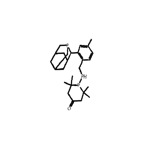 Cc1ccc(CPP2C(C)(C)CC(=O)CC2(C)C)c(C2C3CC4CC(C3)CP2C4)c1